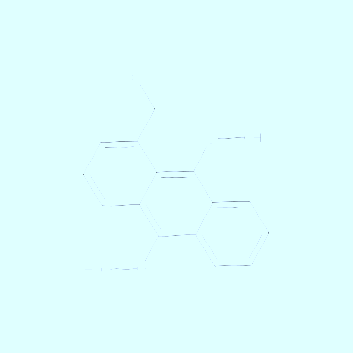 CCc1cccc2c(OC)c3ccccc3c(OC)c12